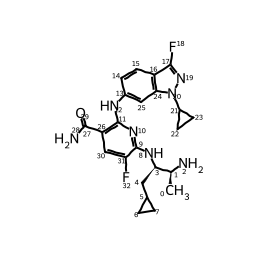 C[C@H](N)[C@@H](CC1CC1)Nc1nc(Nc2ccc3c(F)nn(C4CC4)c3c2)c(C(N)=O)cc1F